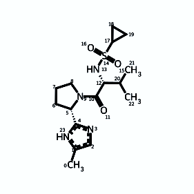 Cc1cnc([C@@H]2CCCN2C(=O)[C@H](NS(=O)(=O)C2CC2)C(C)C)[nH]1